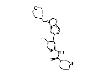 O=C(Nc1cc(-c2ccc3c(c2)N(CC2CCOCC2)CC3)c(Cl)cn1)[C@@H]1CCCNC1